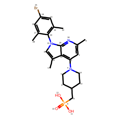 Cc1cc(N2CCC(CP(=O)(O)O)CC2)c2c(C)cn(-c3c(C)cc(Br)cc3C)c2n1